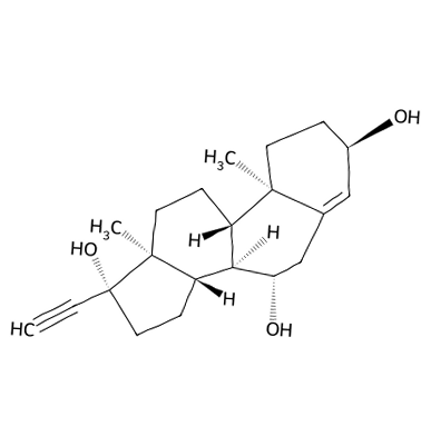 C#C[C@]1(O)CC[C@H]2[C@@H]3[C@@H](O)CC4=C[C@H](O)CC[C@]4(C)[C@H]3CC[C@@]21C